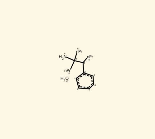 CCCC(c1ccccc1)C(N)(CCC)CCC.O